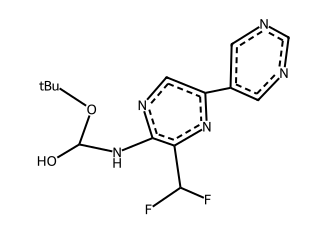 CC(C)(C)OC(O)Nc1ncc(-c2cncnc2)nc1C(F)F